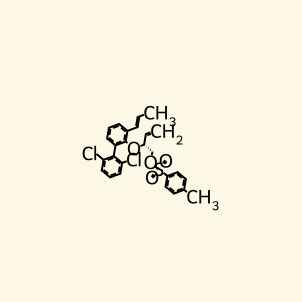 C=C[C@H](COS(=O)(=O)c1ccc(C)cc1)Oc1c(C=CC)cccc1-c1c(Cl)cccc1Cl